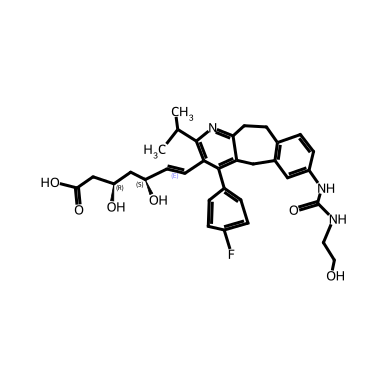 CC(C)c1nc2c(c(-c3ccc(F)cc3)c1/C=C/[C@@H](O)C[C@@H](O)CC(=O)O)Cc1cc(NC(=O)NCCO)ccc1CC2